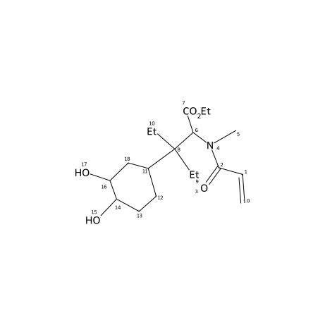 C=CC(=O)N(C)C(C(=O)OCC)C(CC)(CC)C1CCC(O)C(O)C1